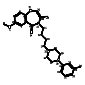 COc1ccc2c(c1)C(=O)N(CCCCN1CCN(c3cccc(C)c3)CC1)C(C)=CO2